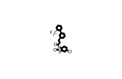 O=C(/C=C/c1cccc(-c2ccccc2C(F)(F)F)c1)n1c(=O)sc2cc(Cl)ccc21